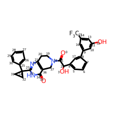 O=C(C(O)c1cccc(-c2cc(O)cc(C(F)(F)F)c2)c1)N1CCc2nc(C3(c4ccccc4)CC3)[nH]c(=O)c2C1